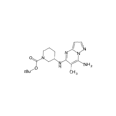 Cc1c(NC2CCCN(C(=O)OC(C)(C)C)C2)nc2ccnn2c1N